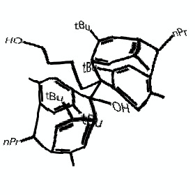 CCCC1c2cc(C(C)(C)C)c(cc2C)C(O)(C2(CCCCO)c3cc(C)c(cc3C(C)(C)C)C(CCC)c3cc(C(C)(C)C)c2cc3C)c2cc(C)c1cc2C(C)(C)C